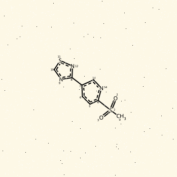 CS(=O)(=O)c1ccc(-c2ncsn2)cn1